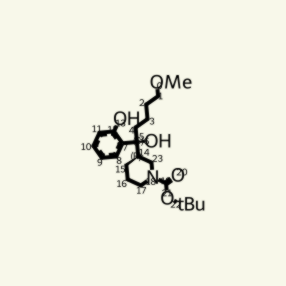 COCCCC[C@@](O)(c1ccccc1O)[C@@H]1CCCN(C(=O)OC(C)(C)C)C1